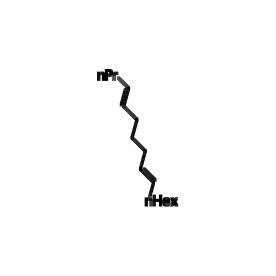 CCCC=CCCCC=CCCCCCC